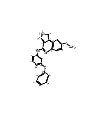 COc1ccc2nc(Nc3cccc(Oc4ccccc4)c3)c3n[nH]cc3c2c1